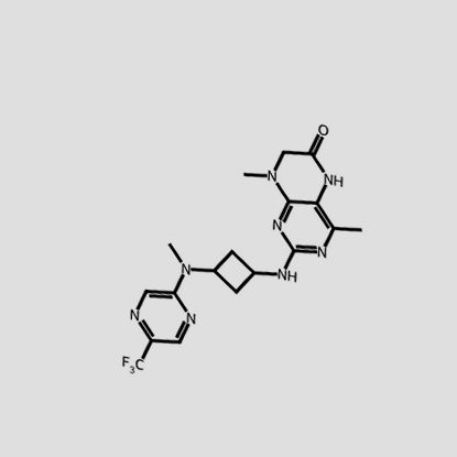 Cc1nc(NC2CC(N(C)c3cnc(C(F)(F)F)cn3)C2)nc2c1NC(=O)CN2C